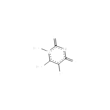 CCc1c(C)n(C)c(=O)[nH]c1=O